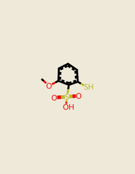 COc1cccc(S)c1S(=O)(=O)O